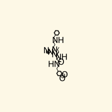 CC1C=C(NCC(=O)NCCc2ccc3c(c2)OCO3)N=C(n2ccnc2)N1CCCNCc1ccccc1